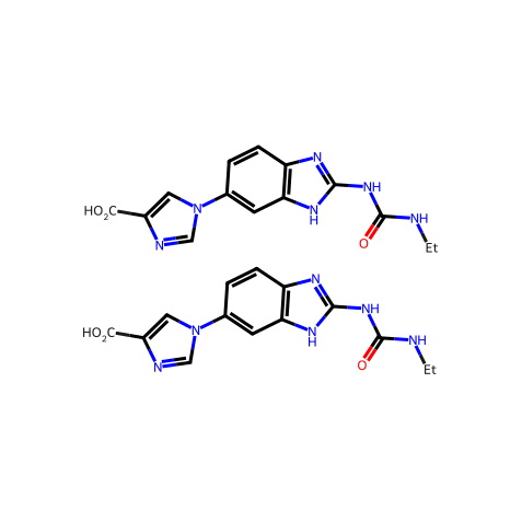 CCNC(=O)Nc1nc2ccc(-n3cnc(C(=O)O)c3)cc2[nH]1.CCNC(=O)Nc1nc2ccc(-n3cnc(C(=O)O)c3)cc2[nH]1